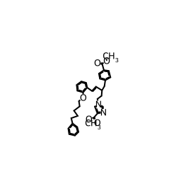 COC(=O)c1ccc(CC(/C=C/c2ccccc2OCCCCCc2ccccc2)CCn2cnc(C(=O)OC)c2)cc1